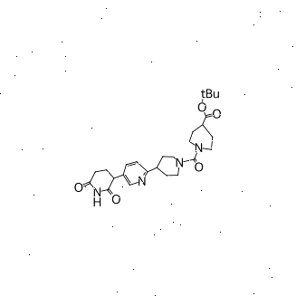 CC(C)(C)OC(=O)C1CCN(C(=O)N2CCC(c3ccc(C4CCC(=O)NC4=O)cn3)CC2)CC1